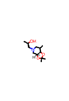 CC(O)CN1CC(C)C2OC(C)(C)O[C@@H]2C1